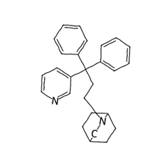 c1ccc(C(CCN2CC3CCC2CC3)(c2ccccc2)c2cccnc2)cc1